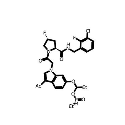 CCC(Oc1ccc2c(C(C)=O)cn(CC(=O)N3C[C@H](F)C[C@H]3C(=O)NCc3cccc(Cl)c3F)c2c1)O[PH](=O)CC